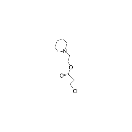 O=C(CCCl)OCCN1CCCCC1